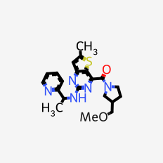 COCC1CCN(C(=O)c2nc(NC(C)c3ccccn3)nc3cc(C)sc23)C1